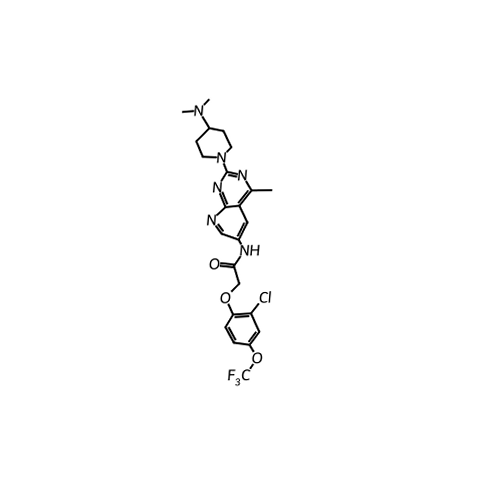 Cc1nc(N2CCC(N(C)C)CC2)nc2ncc(NC(=O)COc3ccc(OC(F)(F)F)cc3Cl)cc12